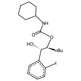 CCCC[C@H](OC(=O)NC1CCCCC1)[C@@H](O)c1ccccc1I